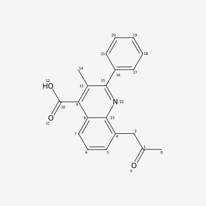 CC(=O)Cc1cccc2c(C(=O)O)c(C)c(-c3ccccc3)nc12